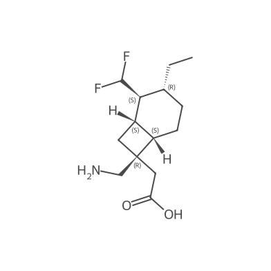 CC[C@@H]1CC[C@H]2[C@H](C[C@@]2(CN)CC(=O)O)[C@H]1C(F)F